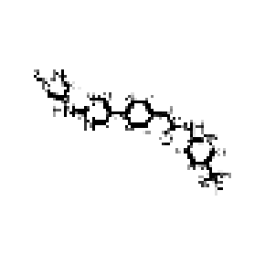 Cn1cc(Nc2ncc(-c3ccc(CC(=O)Nc4ccc(C(F)(F)F)cn4)cc3)cn2)cn1